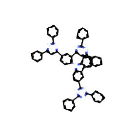 c1ccc(-c2cc(-c3ccc(-n4c5ccccc5c5cc(-c6nc(-c7ccccc7)nc(-c7ccccc7)n6)ccc54)c(-c4cc(-c5ccccc5)nc(-c5ccccc5)n4)c3)nc(-c3ccccc3)n2)cc1